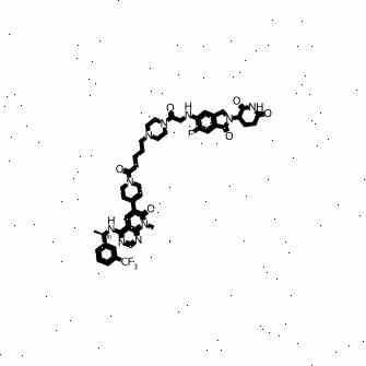 C[C@@H](Nc1ncnc2c1cc(C1=CCN(C(=O)CCCCN3CCN(C(=O)CNc4cc5c(cc4F)C(=O)N(C4CCC(=O)NC4=O)C5)CC3)CC1)c(=O)n2C)c1cccc(C(F)(F)F)c1